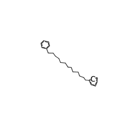 c1ccc(CCCCCCCCCCCCCc2ccccc2)cc1